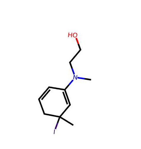 CN(CCO)C1=CC(C)(I)CC=C1